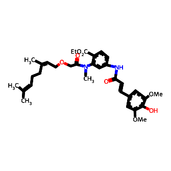 CCOC(=O)c1ccc(NC(=O)C=Cc2cc(OC)c(O)c(OC)c2)cc1N(C)C(=O)COCC=C(C)CCC=C(C)C